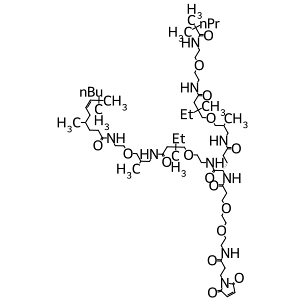 CCCCC(C)(C)/C=C\CC(C)CCC(=O)NCCOCC(C)CNC(=O)CC(C)(CC)COCCNC(=O)[C@H](CCC(=O)NCC(C)COCC(C)(CC)CC(=O)NCCOCCNC(=O)C(C)(C)CCC)NC(=O)CCOCCOCCNC(=O)CCN1C(=O)C=CC1=O